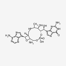 CC1PC[C@H]2[C@H](n3cnc4c(N)ncnc43)O[C@]2(N)COP(=O)(O)O[C@@H]([C@@H](O)n2cnc3c(=O)[nH]c(N)nc32)[C@@H]1O